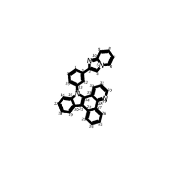 c1cc(-c2cn3ccccc3n2)cc(-n2c3ccccc3c3c4ccccc4c4ncccc4c32)c1